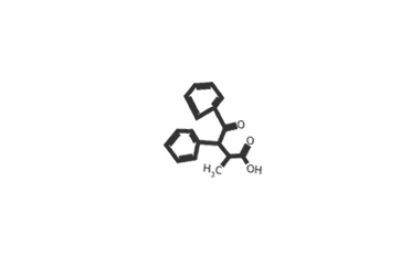 CC(C(=O)O)C(C(=O)c1ccccc1)c1ccccc1